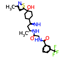 Cc1cc(C2(O)CCC(C(=N)C[C@@H](C)NC(=O)CNC(=O)c3cccc(C(F)(F)F)c3)CC2)sn1